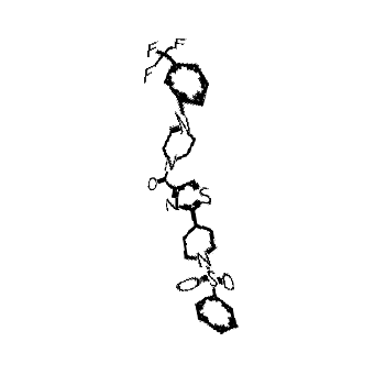 O=C(c1csc(C2CCN(S(=O)(=O)c3ccccc3)CC2)n1)N1CCN(c2cccc(C(F)(F)F)c2)CC1